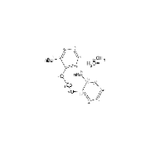 CCCCc1ccccc1[O][Co][O]c1ccccc1CCCC.O.O